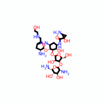 NC[C@@H]1O[C@H](O[C@H]2[C@@H](O)[C@H](O[C@@H]3[C@@H](O)[C@H](NC(=O)C4(O)CC4N)C[C@H](N)[C@H]3O[C@H]3OC(CNCCO)=CC[C@H]3N)O[C@@H]2CO)[C@H](N)[C@@H](O)[C@@H]1O